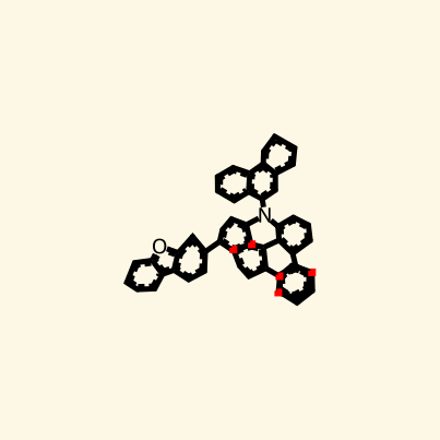 c1ccc(-c2ccccc2-c2c(-c3ccccc3)cccc2N(c2ccc(-c3ccc4c(c3)oc3ccccc34)cc2)c2cc3ccccc3c3ccccc23)cc1